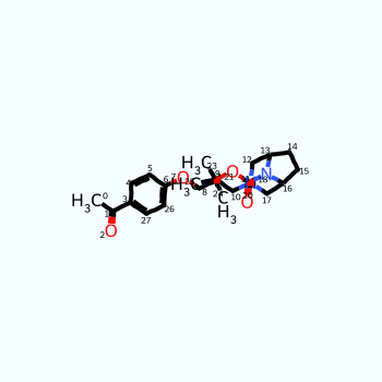 CC(=O)c1ccc(OCCCN2CC3CCC(C2)N3C(=O)OC(C)(C)C)cc1